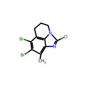 Cc1c(Br)c(Br)c2c3c1nc(Cl)n3CCC2